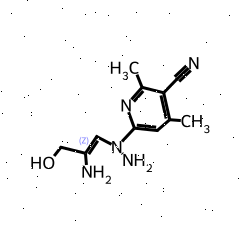 Cc1cc(N(N)/C=C(\N)CO)nc(C)c1C#N